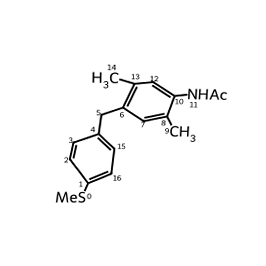 CSc1ccc(Cc2cc(C)c(NC(C)=O)cc2C)cc1